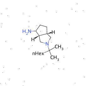 CCCCCCC(C)(C)N1C[C@H]2CCC(N)[C@H]2C1